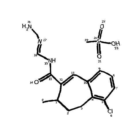 CC1CCc2c(Cl)cccc2C=C1C(=O)NC=NN.CS(=O)(=O)O